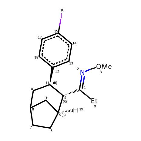 CCC(=NOC)[C@@H]1[C@H]2CCC(C2)C[C@H]1c1ccc(I)cc1